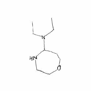 CCN(CC)C1COCCN1